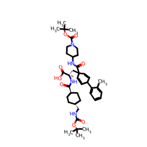 Cc1ccccc1C1C=CC(C[C@H](NC(=O)[C@H]2CC[C@H](CNC(=O)OC(C)(C)C)CC2)C(=O)O)(C(=O)NC2CCN(C(=O)OC(C)(C)C)CC2)C=C1